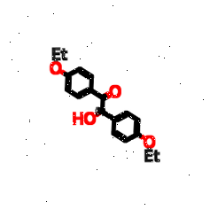 CCOc1ccc(C(=O)[C@H](O)c2ccc(OCC)cc2)cc1